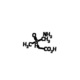 C[SH](C)(=O)CC(=O)O.N